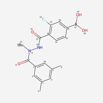 Cc1cc(C)cc(C(=O)N(NC(=O)c2ccc(B(O)O)cc2F)C(C)(C)C)c1